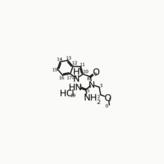 COCCN(C(=N)N)C(=O)c1cc2ccccc2[nH]1.Cl